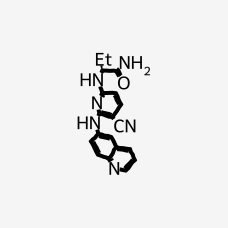 CC[C@@H](Nc1ccc(C#N)c(Nc2ccc3ncccc3c2)n1)C(N)=O